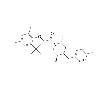 Cc1cc(C)c(OCC(=O)N2C[C@H](C)N(Cc3ccc(F)cc3)C[C@H]2C)c(C(C)(C)C)c1